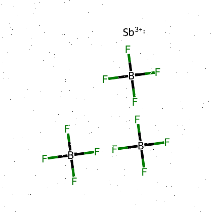 F[B-](F)(F)F.F[B-](F)(F)F.F[B-](F)(F)F.[Sb+3]